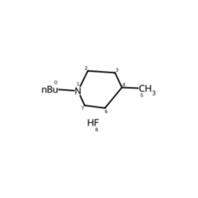 CCCCN1CCC(C)CC1.F